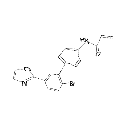 C=CC(=O)Nc1ccc(-c2cc(-c3ncco3)ccc2Br)cc1